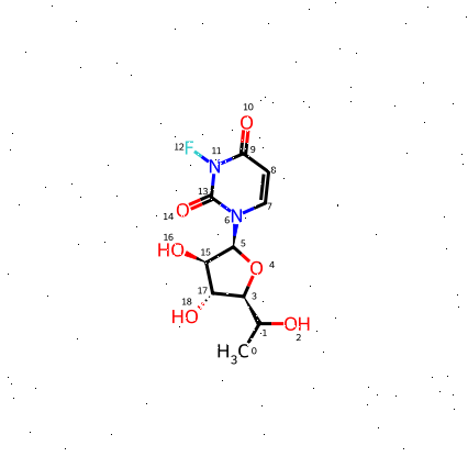 CC(O)[C@@H]1O[C@H](n2ccc(=O)n(F)c2=O)[C@H](O)[C@H]1O